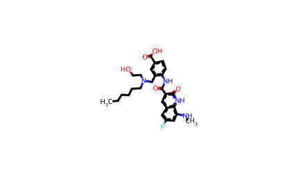 CCCCCCN(CCO)Cc1cc(C(=O)O)ccc1NC(=O)c1cc2cc(F)cc(NC)c2[nH]c1=O